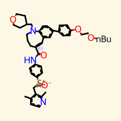 CCCCOCCOc1ccc(-c2ccc3c(c2)/C=C(/C(=O)Nc2ccc([S@@+]([O-])Cc4c(C)ccnc4C)cc2)CCCN3CC2CCOCC2)cc1